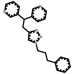 c1ccc(CCCn2cc(CC(c3cccnc3)c3cccnc3)nn2)cc1